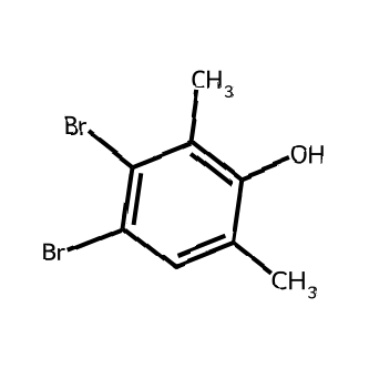 Cc1cc(Br)c(Br)c(C)c1O